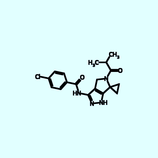 CC(C)C(=O)N1Cc2c(NC(=O)c3ccc(Cl)cc3)n[nH]c2C12CC2